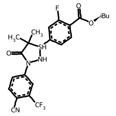 CC[C@H](C)OC(=O)c1ccc([SH]2NN(c3ccc(C#N)c(C(F)(F)F)c3)C(=O)C2(C)C)cc1F